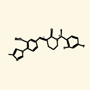 COc1cc(/C=C2\CCCN([C@@H](C)c3ccc(F)cc3F)C2=O)ccc1-n1cnc(C)c1